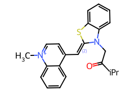 CC(C)C(=O)CN1/C(=C/c2cc[n+](C)c3ccccc23)Sc2ccccc21